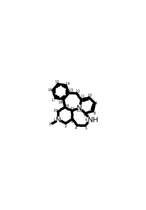 CN1CC2CCNC3C=CC=C4Cc5ccccc5C(C1)C2N43